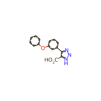 O=C(O)c1[nH]nnc1-c1cccc(Oc2ccccc2)c1